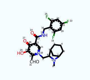 CN1C2CCCC(C2)C1Cn1cc(C(=O)NCc2c(F)cc(F)cc2F)c(=O)c(O)c1C=O